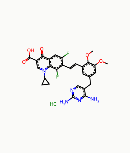 COc1cc(Cc2cnc(N)nc2N)cc(/C=C/c2c(F)cc3c(=O)c(C(=O)O)cn(C4CC4)c3c2F)c1OC.Cl